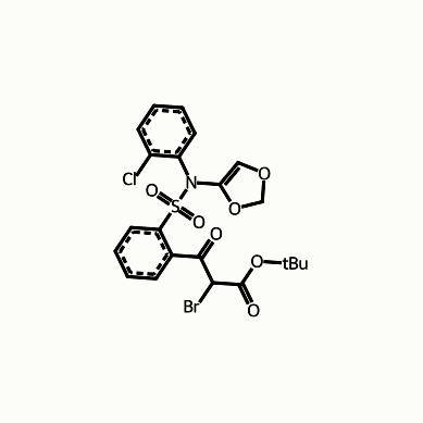 CC(C)(C)OC(=O)C(Br)C(=O)c1ccccc1S(=O)(=O)N(C1=COCO1)c1ccccc1Cl